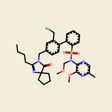 CCCCC1=NC2(CCCC2)C(=O)N1Cc1ccc(-c2ccccc2S(=O)(=O)N(COC)c2ncc(C)nc2OC)c(CBr)c1